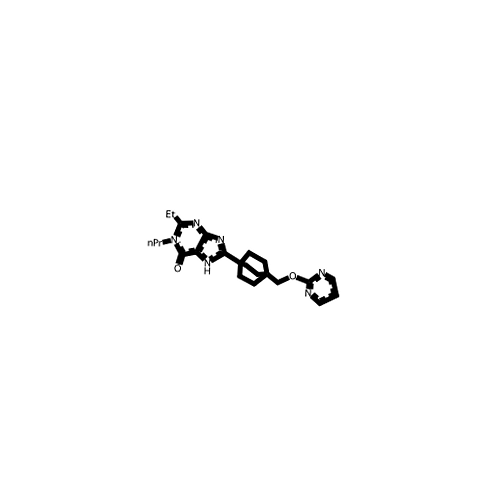 CCCn1c(CC)nc2nc(C34CCC(COc5ncccn5)(CC3)CC4)[nH]c2c1=O